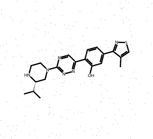 Cc1csnc1-c1ccc(-c2cnc(N3CCN[C@@H](C(C)C)C3)nn2)c(O)c1